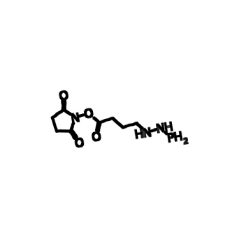 O=C(CCCNNP)ON1C(=O)CCC1=O